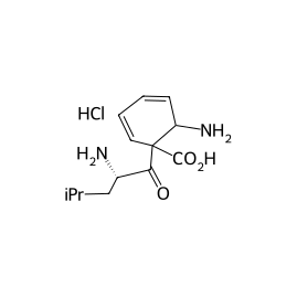 CC(C)C[C@H](N)C(=O)C1(C(=O)O)C=CC=CC1N.Cl